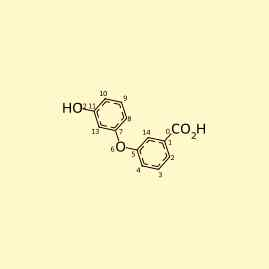 O=C(O)c1cccc(Oc2cccc(O)c2)c1